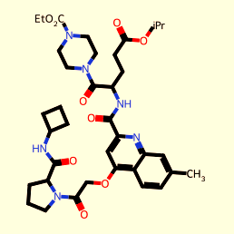 CCOC(=O)N1CCN(C(=O)C(CCC(=O)OC(C)C)NC(=O)c2cc(OCC(=O)N3CCCC3C(=O)NC3CCC3)c3ccc(C)cc3n2)CC1